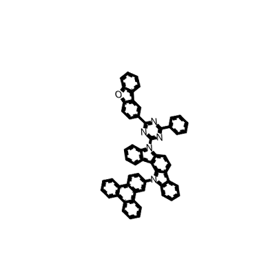 c1ccc(-c2nc(-c3ccc4oc5ccccc5c4c3)nc(-n3c4ccccc4c4c3ccc3c5ccccc5n(-c5ccc6c7ccccc7c7ccccc7c6c5)c34)n2)cc1